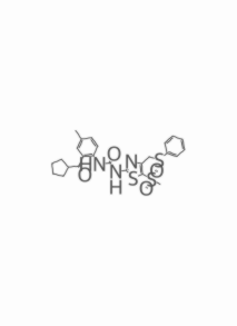 Cc1ccc(NC(=O)Nc2nc(CSc3ccccc3)c(S(C)(=O)=O)s2)c(C(=O)C2CCCC2)c1